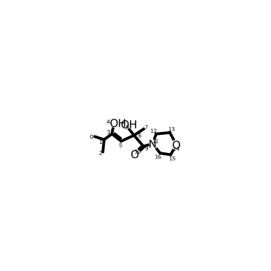 CC(C)/C(O)=C/C(C)(O)C(=O)N1CCOCC1